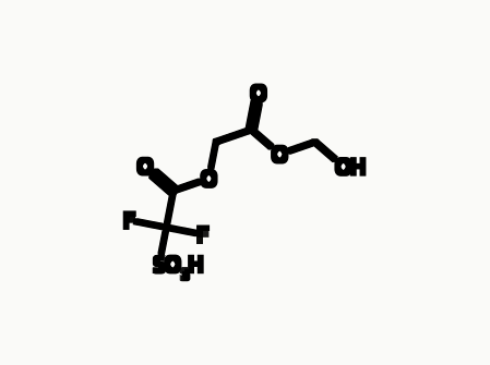 O=C(COC(=O)C(F)(F)S(=O)(=O)O)OCO